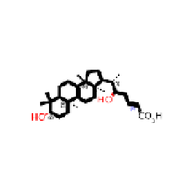 C[C@H](C(O)C/C=C/C(=O)O)C1CC[C@@]2(C)C3=C(CC[C@]12C)[C@@]1(C)CC[C@H](O)C(C)(C)C1CC3